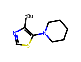 CC(C)(C)c1n[c]sc1N1CCCCC1